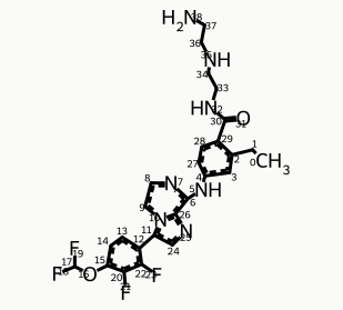 CCc1cc(Nc2nccn3c(-c4ccc(OC(F)F)c(F)c4F)cnc23)ccc1C(=O)NCCNCCN